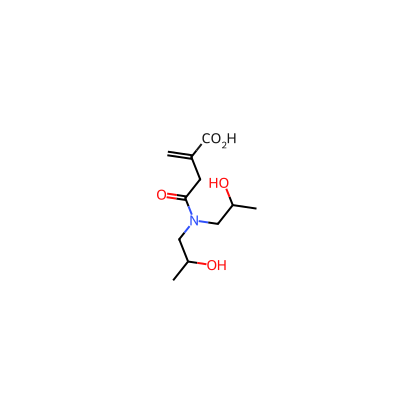 C=C(CC(=O)N(CC(C)O)CC(C)O)C(=O)O